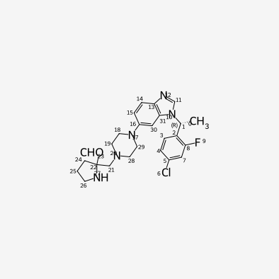 C[C@H](c1ccc(Cl)cc1F)n1cnc2ccc(N3CCN(CC4(C=O)CCCN4)CC3)cc21